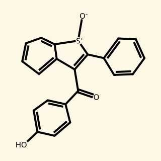 O=C(c1ccc(O)cc1)c1c(-c2ccccc2)[s+]([O-])c2ccccc12